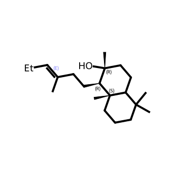 CC/C=C(\C)CC[C@@H]1[C@@]2(C)CCCC(C)(C)C2CC[C@@]1(C)O